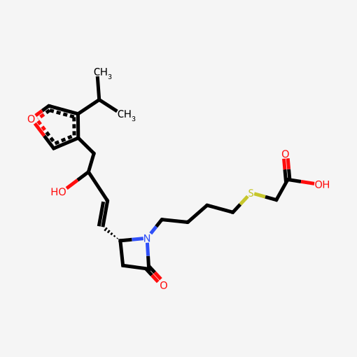 CC(C)c1cocc1CC(O)/C=C/[C@H]1CC(=O)N1CCCCSCC(=O)O